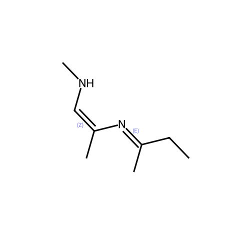 CC/C(C)=N/C(C)=C\NC